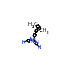 C[C@@H]1CC2C[C@H](C)CC(c3ccc(-c4ccc(-c5nc(-c6ccc(C#N)cc6)nc(-c6ccc(C#N)cn6)n5)cc4)cc3)(C2)C1